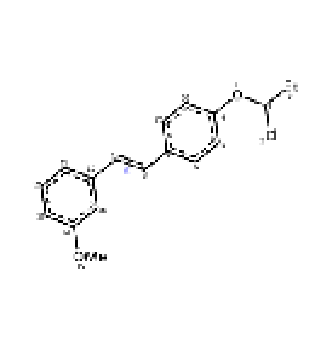 CCC(Cl)Oc1ccc(/C=C/c2cccc(OC)c2)cc1